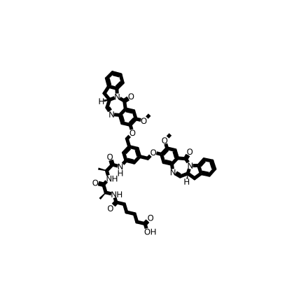 COc1cc2c(cc1OCc1cc(COc3cc4c(cc3OC)C(=O)N3c5ccccc5C[C@H]3C=N4)cc(NC(=O)[C@H](C)NC(=O)[C@H](C)NC(=O)CCCCC(=O)O)c1)N=C[C@@H]1Cc3ccccc3N1C2=O